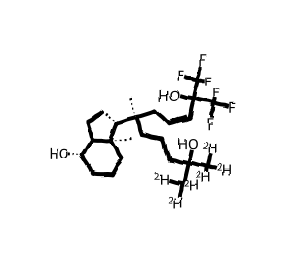 [2H]C([2H])([2H])C(O)(CCC[C@](C)(C/C=C\C(O)(C(F)(F)F)C(F)(F)F)[C@H]1CCC2[C@@H](O)CCC[C@@]21C)C([2H])([2H])[2H]